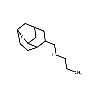 CCCNCC1CC2CC3CCC1C(C3)C2